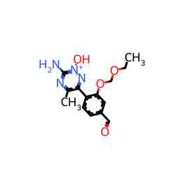 CCOCOc1cc(C=O)ccc1-c1n[n+](O)c(N)nc1C